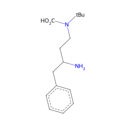 CC(C)(C)N(CCC(N)Cc1ccccc1)C(=O)O